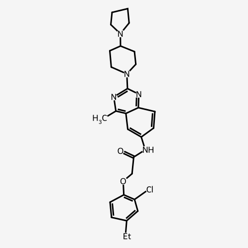 CCc1ccc(OCC(=O)Nc2ccc3nc(N4CCC(N5CCCC5)CC4)nc(C)c3c2)c(Cl)c1